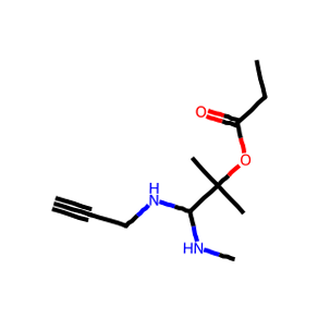 C#CCNC(NC)C(C)(C)OC(=O)CC